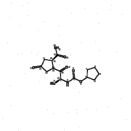 CC(C)(C)[C@H](NC(=O)OC1CCCC1)C(=O)N1CC(=O)C[C@H]1C(N)=O